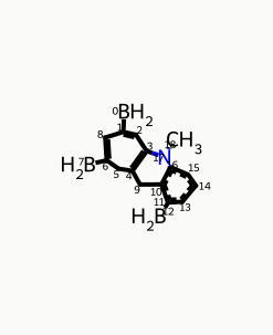 BC1=CC2=C(CC(B)=C1)Cc1c(B)cccc1N2C